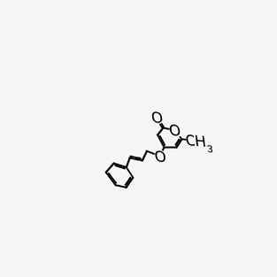 Cc1cc(OCC=Cc2ccccc2)cc(=O)o1